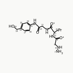 CC(C)C(NC(=O)CNN)C(=O)NCC(=O)Nc1ccc(CO)cc1